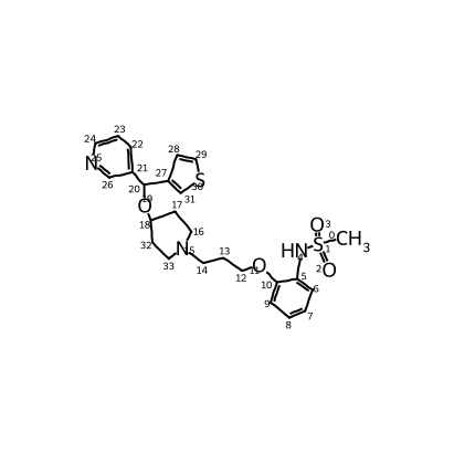 CS(=O)(=O)Nc1ccccc1OCCCN1CCC(OC(c2cccnc2)c2ccsc2)CC1